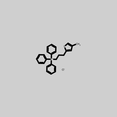 Cc1csc(CCC[P+](c2ccccc2)(c2ccccc2)c2ccccc2)c1.[Cl-]